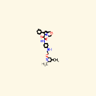 Cc1cc(C)nc(OCCNc2ccc(NC(=O)C(=O)c3c(-c4ccccc4)cc4n3CCOC4)cc2)c1